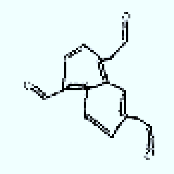 O=Cc1ccc2c(C=O)ccc(C=O)c2c1